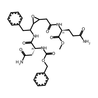 COC(=O)[C@H](CCC(N)=O)NC(=O)CC1OC1C(Cc1ccccc1)NC(=O)[C@@H](CC(N)=O)NC(=O)OCc1ccccc1